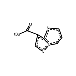 CC(C)(C)C(=O)c1cnn2cccnc12